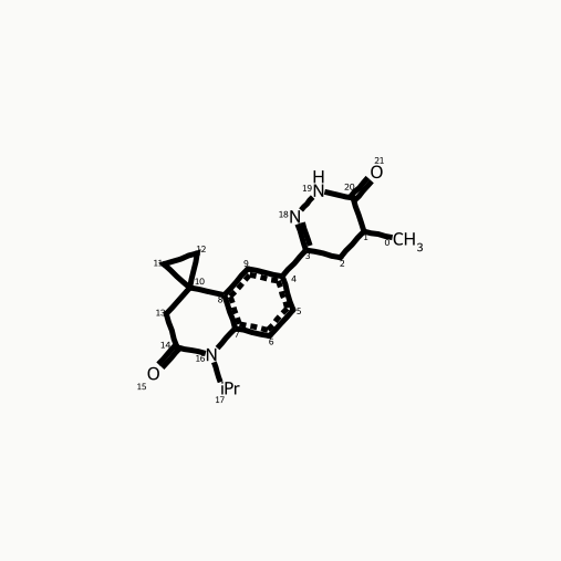 CC1CC(c2ccc3c(c2)C2(CC2)CC(=O)N3C(C)C)=NNC1=O